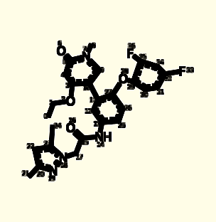 CCOc1cc(=O)n(C)cc1-c1cc(NC(=O)Cn2nc(C)cc2C)ccc1Oc1ccc(F)cc1F